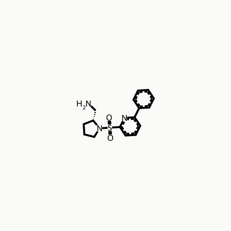 NC[C@H]1CCCN1S(=O)(=O)c1cccc(-c2ccccc2)n1